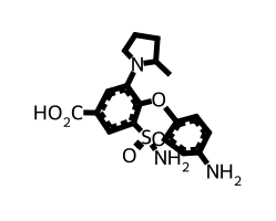 CC1CCCN1c1cc(C(=O)O)cc(S(N)(=O)=O)c1Oc1ccc(N)cc1